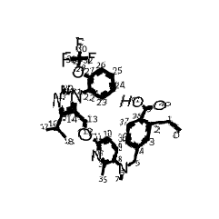 CCc1cc(CN(C)c2ccc(OCc3c(C(C)C)nnn3-c3ccccc3OC(F)(F)F)nc2C)ccc1C(=O)O